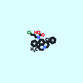 C[C@@]1(c2ccccc2)CCN2CC[C@@](C)(c3ccccc3)c3cc(N(CCCCl)C(=O)O)cc1c32